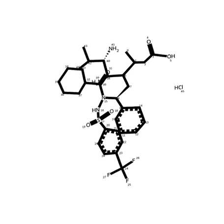 CC(CC(=O)O)C(C[C@@H](c1ccccc1)N(NS(=O)(=O)c1ccc(C(F)(F)F)cc1)C(=O)C1CCCCC1)C(N)[C@@H](N)C(C)C.Cl